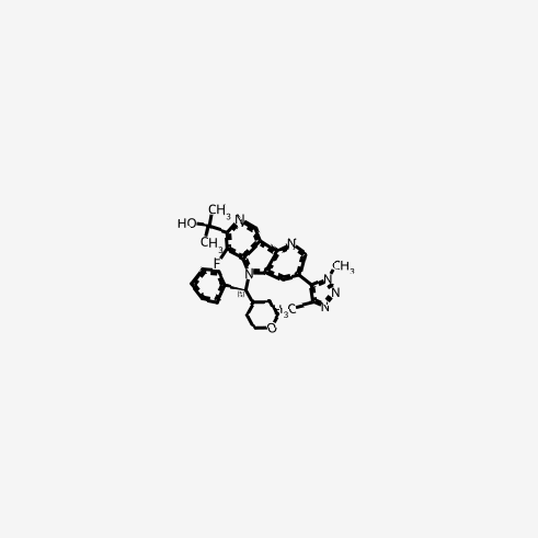 Cc1nnn(C)c1-c1cnc2c3cnc(C(C)(C)O)c(F)c3n([C@H](c3ccccc3)C3CCOCC3)c2c1